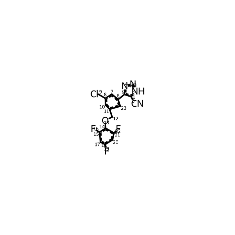 N#Cc1[nH]nnc1-c1cc(Cl)cc(COc2c(F)cc(F)cc2F)c1